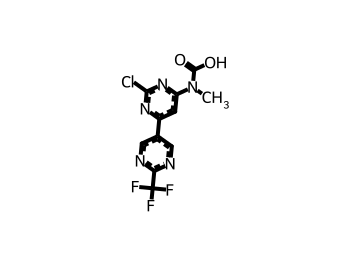 CN(C(=O)O)c1cc(-c2cnc(C(F)(F)F)nc2)nc(Cl)n1